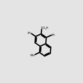 CC(C)c1cc2c(C(C)(C)C)cccc2c(C(C)C)c1S(=O)(=O)O